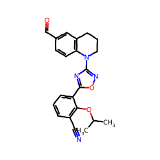 CC(C)Oc1c(C#N)cccc1-c1nc(N2CCCc3cc(C=O)ccc32)no1